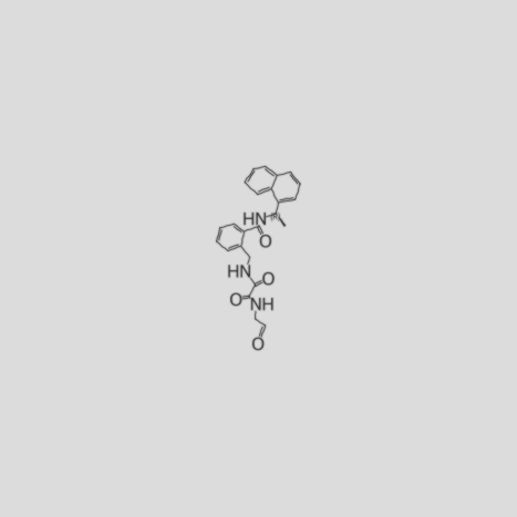 C[C@@H](NC(=O)c1ccccc1CNC(=O)C(=O)NCC=O)c1cccc2ccccc12